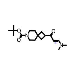 CN(C)/C=C/C(=O)C1CC2(CCN(C(=O)OC(C)(C)C)CC2)C1